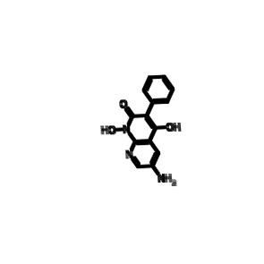 Nc1cnc2c(c1)c(O)c(-c1ccccc1)c(=O)n2O